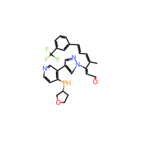 CC(=C/C=C/c1cccc(C(F)(F)F)c1)/C(=C\C=O)n1cc(-c2cnccc2P[C@H]2CCOC2)cn1